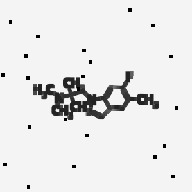 Cc1cc2ccn(CC(C)(C)N(C)C)c2cc1F